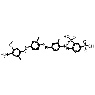 COc1cc(N=Nc2ccc(N=Nc3ccc(N=Nc4ccc(S(=O)(=O)O)cc4S(=O)(=O)O)c(C)c3)c(C)c2)c(C)cc1N